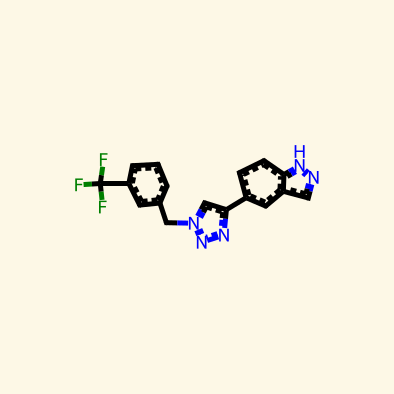 FC(F)(F)c1cccc(Cn2cc(-c3ccc4[nH]ncc4c3)nn2)c1